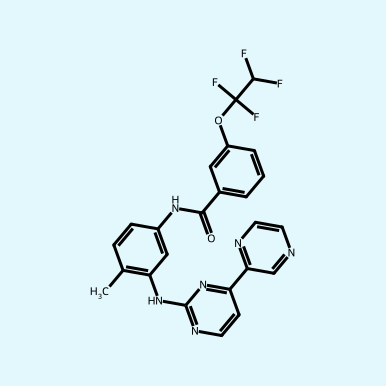 Cc1ccc(NC(=O)c2cccc(OC(F)(F)C(F)F)c2)cc1Nc1nccc(-c2cnccn2)n1